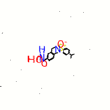 CC(C)c1ccc([S+]([O-])N2CCc3cc(C(=O)NO)ccc3C2)cc1